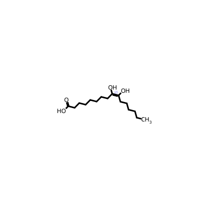 CCCCCC/C(O)=C(/O)CCCCCCCC(=O)O